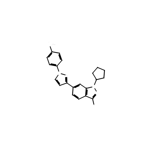 CCc1nn(C2CCCC2)c2cc(-c3ccn(-c4ccc(OC)cc4)n3)ccc12